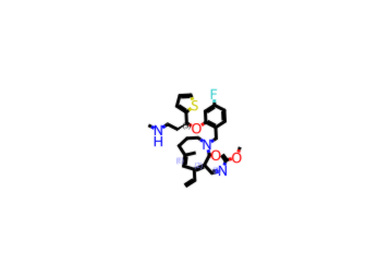 C=CC1=C(\C=N/C(=C)OC)C(=O)N(Cc2ccc(F)cc2O[C@@H](CCNC)c2cccs2)CCC\C(C)=C\1